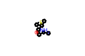 Cc1ccccc1-c1c(-c2ccc3oc4cccc(C5=CC=C(c6ccccc6)C5)c4c3c2N)ccc2c1sc1ccccc12